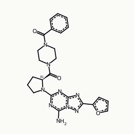 Nc1nc(N2CCC[C@H]2C(=O)N2CCN(C(=O)c3ccccc3)CC2)nc2nc(-c3ccco3)nn12